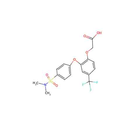 CN(C)S(=O)(=O)c1ccc(Oc2cc(C(F)(F)F)ccc2OCC(=O)O)cc1